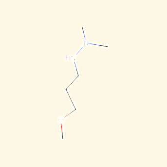 COCCCNN(C)C